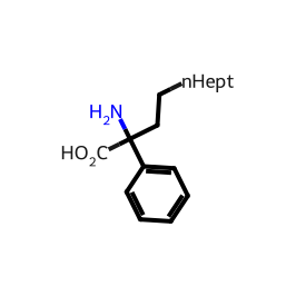 CCCCCCCCCC(N)(C(=O)O)c1ccccc1